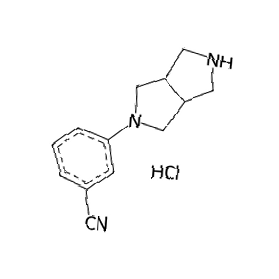 Cl.N#Cc1cccc(N2CC3CNCC3C2)c1